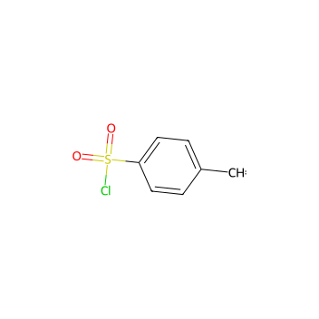 [CH]c1ccc(S(=O)(=O)Cl)cc1